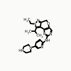 CCn1nc2c(c1C(C)C)-c1nc(Nc3ccc(N4CCNCC4)cn3)ncc1OC2